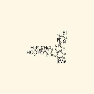 CCc1cnc(N(CCc2ccc(OC(C)(C)C(=O)O)cc2)Cc2ccc(SC)cc2)nc1